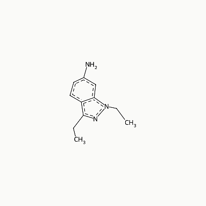 CCc1nn(CC)c2cc(N)ccc12